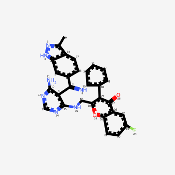 Cc1n[nH]c2cc(C(=N)c3c(N)ncnc3NCc3oc4ccc(F)cc4c(=O)c3-c3ccccc3)ccc12